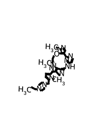 CCCN1CCN(Cc2ccc(-c3nn4c5cc(ncc35)Nc3ccnc(n3)-c3cnn(C)c3OCC[C@@H]4C)n2C)CC1